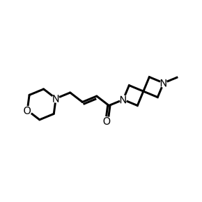 CN1CC2(C1)CN(C(=O)/C=C/CN1CCOCC1)C2